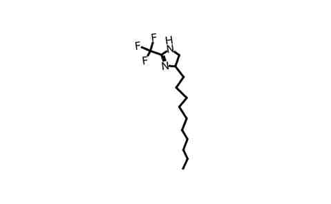 CCCCCCCCCCC1CNC(C(F)(F)F)=N1